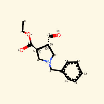 CCOC(=O)[C@@H]1CN(Cc2ccccc2)C[C@H]1C=O